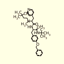 CN(CCC(C)(C)C)C(Cc1ccncc1)C(=O)NC(Cc1ccc(OCc2ccccc2)cc1)C(=O)NC(C)(C)C